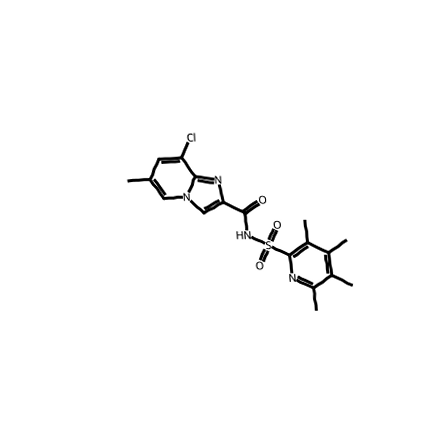 Cc1cc(Cl)c2nc(C(=O)NS(=O)(=O)c3nc(C)c(C)c(C)c3C)cn2c1